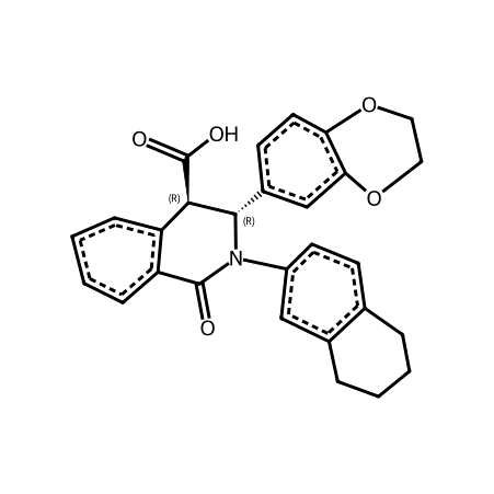 O=C(O)[C@@H]1c2ccccc2C(=O)N(c2ccc3c(c2)CCCC3)[C@H]1c1ccc2c(c1)OCCO2